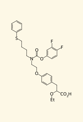 CCOC(Cc1ccc(OCCN(CCCCSc2ccccc2)C(=O)Oc2ccc(F)c(F)c2)cc1)C(=O)O